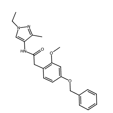 CCn1cc(NC(=O)Cc2ccc(OCc3ccccc3)cc2OC)c(C)n1